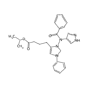 CC(C)OC(=O)CCCC1=CN(c2ccccc2)CN1N(C(=O)c1ccccc1)c1cn[nH]c1